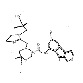 CC(C)(O)CN1CCN=C1CN1CC(C)(C)OC[C@H]1C(=O)Nc1cc(Cl)cc2c1[nH]c1cnccc12